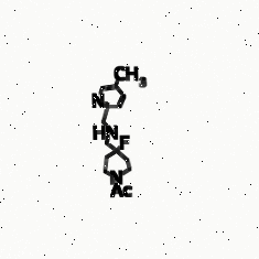 CC(=O)N1CCC(F)(CNCc2ccc(C)cn2)CC1